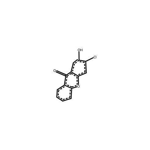 O=c1c2ccccc2oc2cc(Cl)c(O)cc12